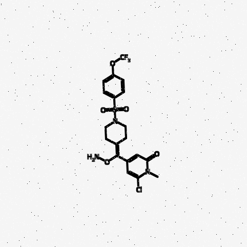 Cn1c(Cl)cc(C(ON)=C2CCN(S(=O)(=O)c3ccc(OC(F)(F)F)cc3)CC2)cc1=O